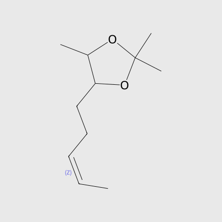 C/C=C\CCC1OC(C)(C)OC1C